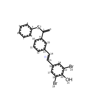 C=C(Sc1ccccc1)c1cccc(/C=C/c2cc(Br)c(O)c(Br)c2)c1